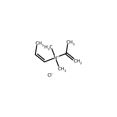 C=C(C)[N+](C)(C)/C=C\C.[Cl-]